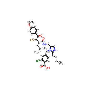 CCCCc1ncc(CNC(=O)C(CC(C)C)C(S)C(=O)c2ccc(OC)cc2)n1Cc1ccc(C(=O)O)c(Br)c1